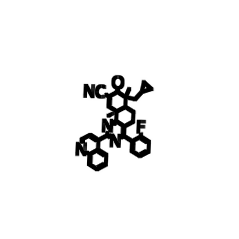 CC1(CC2CC2)C(=O)C(C#N)=C[C@@]2(C)c3nc(-c4ccnc5ccccc45)nc(-c4ccccc4F)c3CCC12